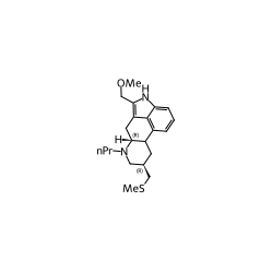 CCCN1C[C@H](CSC)CC2c3cccc4[nH]c(COC)c(c34)C[C@H]21